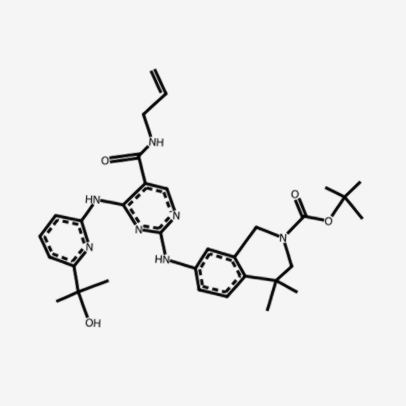 C=CCNC(=O)c1cnc(Nc2ccc3c(c2)CN(C(=O)OC(C)(C)C)CC3(C)C)nc1Nc1cccc(C(C)(C)O)n1